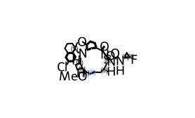 CO[C@H]1/C=C/C[C@H](C)C[S@@](=O)(NC(=O)N[C@H]2C[C@H]2F)=NC(=O)c2ccc3c(c2)N(C[C@@H]2CC[C@H]21)C[C@@]1(CCCc2cc(Cl)ccc21)CO3